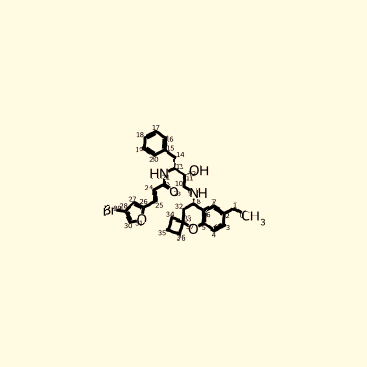 CCc1ccc2c(c1)[C@@H](NC[C@@H](O)[C@H](Cc1ccccc1)NC(=O)C=Cc1cc(Br)co1)CC1(CCC1)O2